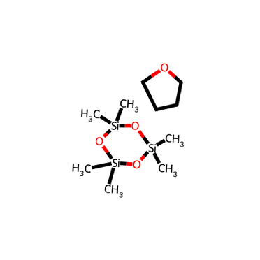 C1CCOC1.C[Si]1(C)O[Si](C)(C)O[Si](C)(C)O1